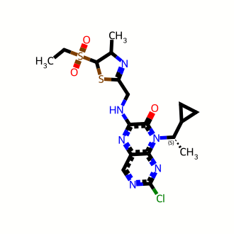 CCS(=O)(=O)C1SC(CNc2nc3cnc(Cl)nc3n([C@@H](C)C3CC3)c2=O)=NC1C